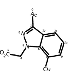 CC(=O)c1nn(CC(=O)O)c2c(C)cccc12